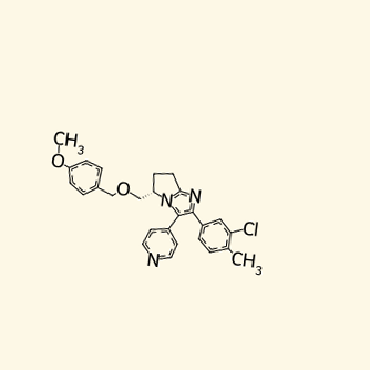 COc1ccc(COC[C@@H]2CCc3nc(-c4ccc(C)c(Cl)c4)c(-c4ccncc4)n32)cc1